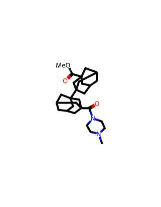 COC(=O)C12CC3CC(C1)CC(C14CC5CC(CC(C(=O)N6CCN(C)CC6)(C5)C1)C4)(C3)C2